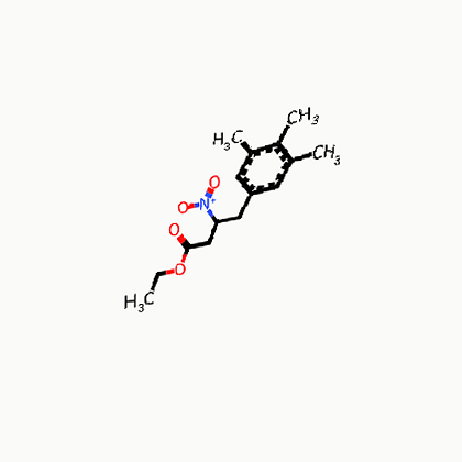 CCOC(=O)CC(Cc1cc(C)c(C)c(C)c1)[N+](=O)[O-]